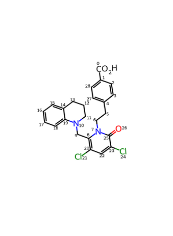 O=C(O)c1ccc(CCn2c(CN3CCCc4ccccc43)c(Cl)cc(Cl)c2=O)cc1